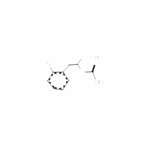 CCCCCCCC(Cc1ccccc1[N+](=O)[O-])OC(N)=O